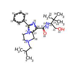 CC(C)CN1CCn2c(-c3ccccc3)nc(C(=O)NC(CO)C(C)(C)C)c2C1